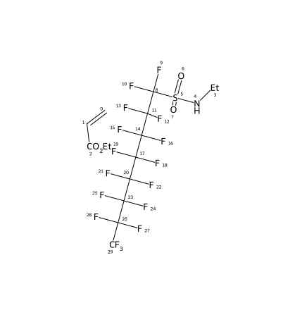 C=CC(=O)OCC.CCNS(=O)(=O)C(F)(F)C(F)(F)C(F)(F)C(F)(F)C(F)(F)C(F)(F)C(F)(F)C(F)(F)F